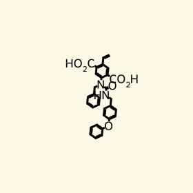 C=Cc1cc(C(=O)O)c(N(Cc2ccccc2)C(=O)NCc2ccc(Oc3ccccc3)cc2)cc1C(=O)O